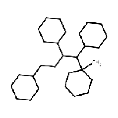 CC1(C(C2CCCCC2)C(CCC2CCCCC2)C2CCCCC2)CCCCC1